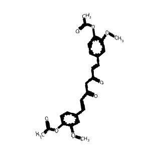 COc1cc(/C=C/C(=O)CC(=O)/C=C/c2ccc(OC(C)=O)c(OC)c2)ccc1OC(C)=O